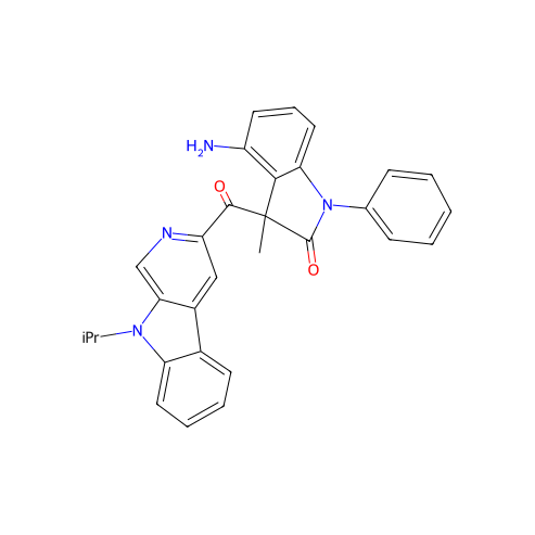 CC(C)n1c2ccccc2c2cc(C(=O)C3(C)C(=O)N(c4ccccc4)c4cccc(N)c43)ncc21